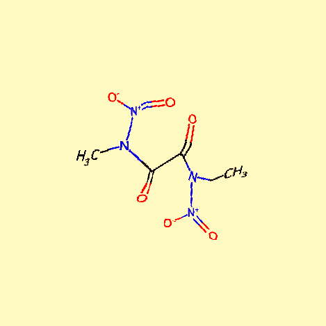 CN(C(=O)C(=O)N(C)[N+](=O)[O-])[N+](=O)[O-]